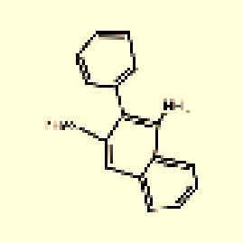 CCCCCCc1cc2ccccc2c(N)c1-c1ccccc1